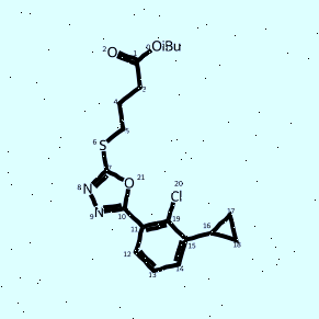 CC(C)COC(=O)CCCSc1nnc(-c2cccc(C3CC3)c2Cl)o1